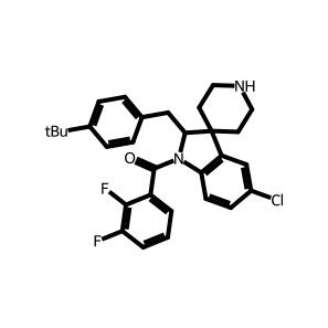 CC(C)(C)c1ccc(CC2N(C(=O)c3cccc(F)c3F)c3ccc(Cl)cc3C23CCNCC3)cc1